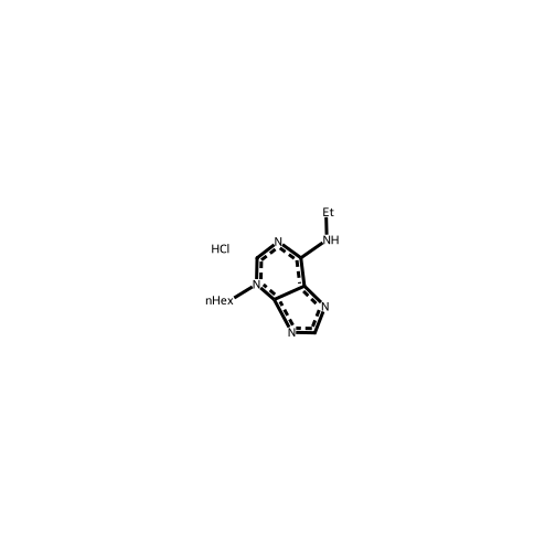 CCCCCCn1cnc(NCC)c2ncnc1-2.Cl